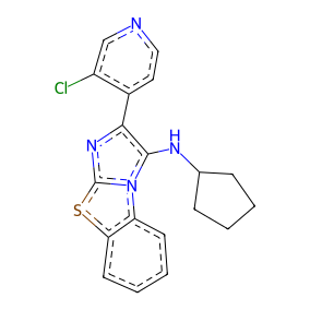 Clc1cnccc1-c1nc2sc3ccccc3n2c1NC1CCCC1